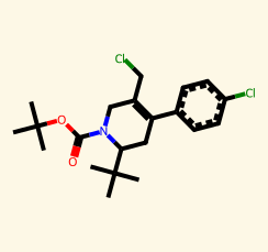 CC(C)(C)OC(=O)N1CC(CCl)=C(c2ccc(Cl)cc2)CC1C(C)(C)C